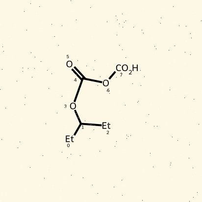 CCC(CC)OC(=O)OC(=O)O